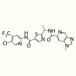 CC(NC(=O)c1cc2c(cn1)ncn2C)c1ncc(C(=O)Nc2cc(C(F)(F)F)c(Cl)cn2)s1